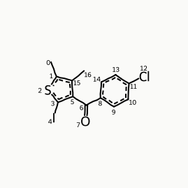 Cc1sc(I)c(C(=O)c2ccc(Cl)cc2)c1C